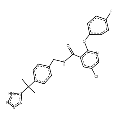 CC(C)(c1ccc(CNC(=O)c2cc(Cl)cnc2Oc2ccc(F)cc2)cc1)c1nnn[nH]1